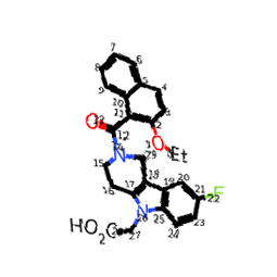 CCOc1ccc2ccccc2c1C(=O)N1CCc2c(c3cc(F)ccc3n2CC(=O)O)C1